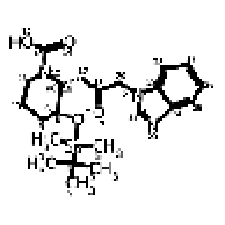 CC(C)(C)[Si](C)(C)O[C@H]1CCCN(C(=O)O)[C@@H]1CC(=O)Cn1cnc2ccccc21